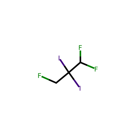 FCC(I)(I)C(F)F